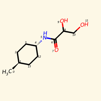 C[C@H]1CC[C@H](NC(=O)C(O)CO)CC1